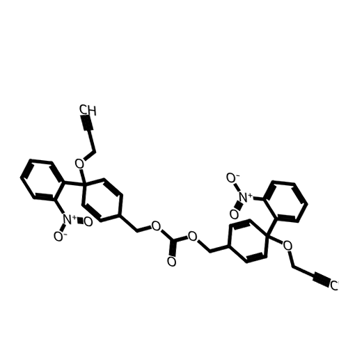 C#CCOC1(c2ccccc2[N+](=O)[O-])C=CC(COC(=O)OCC2C=CC(OCC#C)(c3ccccc3[N+](=O)[O-])C=C2)C=C1